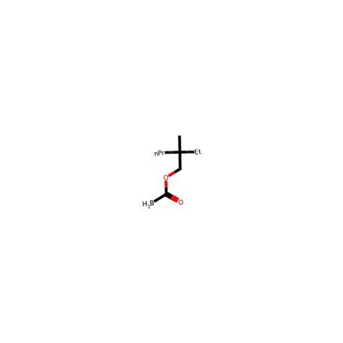 BC(=O)OCC(C)(CC)CCC